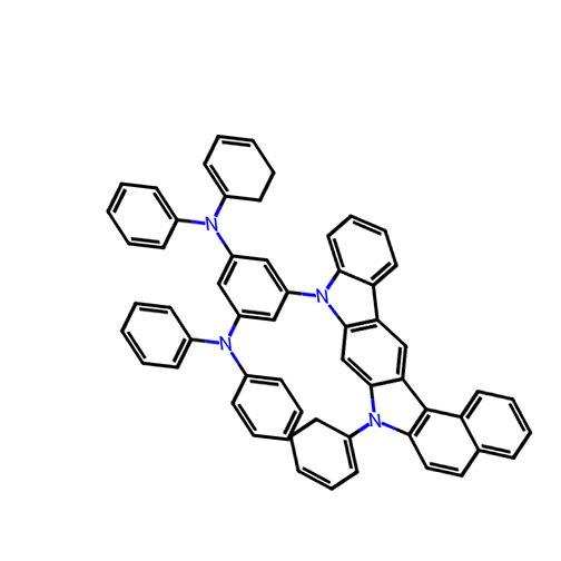 C1=CCCC(N(c2ccccc2)c2cc(N(c3ccccc3)c3ccccc3)cc(-n3c4ccccc4c4cc5c6c7ccccc7ccc6n(C6=CC=CCC6)c5cc43)c2)=C1